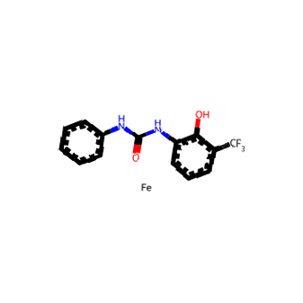 O=C(Nc1ccccc1)Nc1cccc(C(F)(F)F)c1O.[Fe]